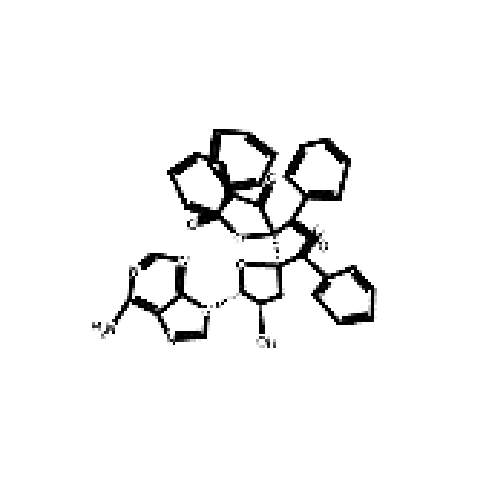 Nc1ncnc2c1ncn2[C@@H]1O[C@](C(=O)c2ccccc2)(C(OC(=O)c2ccccc2)(C(=O)c2ccccc2)C(=O)c2ccccc2)C[C@H]1O